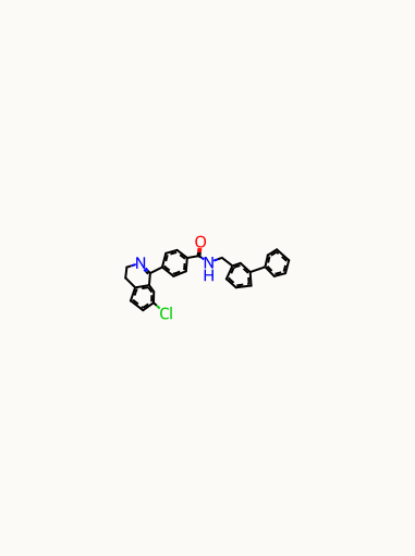 O=C(NCc1cccc(-c2ccccc2)c1)c1ccc(C2=NCCc3ccc(Cl)cc32)cc1